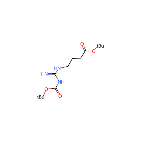 CC(C)(C)OC(=O)[CH]CCNC(=N)NC(=O)OC(C)(C)C